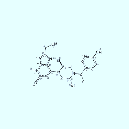 CC[C@H]1CN(C(C)c2ccc(C#N)nc2)[C@H](CC)CN1c1cc(=O)n(C)n2cc(CC#N)nc12